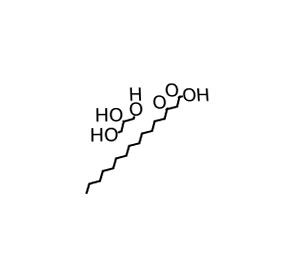 CCCCCCCCCCCCCC(=O)CC(=O)O.OCC(O)CO